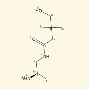 CN[C@H](C)CNC(=O)CC(C)(C)CO